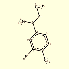 NC(CC(=O)O)c1ccc(C(F)(F)F)c(F)c1